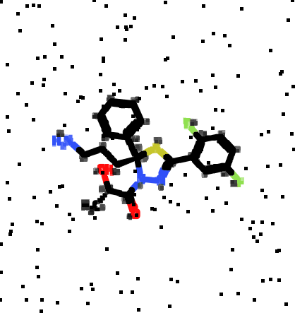 C[C@H](O)C(=O)N1N=C(c2cc(F)ccc2F)S[C@@]1(CCCN)c1ccccc1